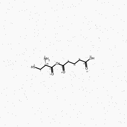 N[C@@H](CS)C(=O)OC(=O)CCCC(=O)O